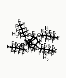 NC(F)(C(F)(F)OC12C(F)(F)C3(OC(F)(F)C(N)(F)C(F)(F)C(F)(F)F)C(F)(F)C(OC(F)(F)C(O)(F)C(F)(F)C(F)(F)F)(C1(F)F)C(F)(F)C(OC(F)(F)C(O)(F)C(F)(F)C(F)(F)F)(C2(F)F)C3(F)F)C(F)(F)C(F)(F)F